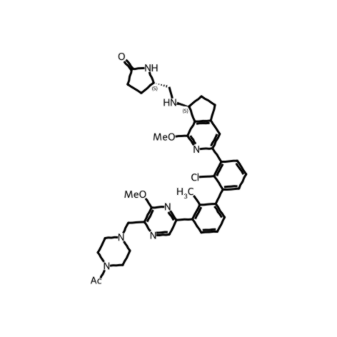 COc1nc(-c2cccc(-c3cccc(-c4cc5c(c(OC)n4)[C@@H](NC[C@@H]4CCC(=O)N4)CC5)c3Cl)c2C)cnc1CN1CCN(C(C)=O)CC1